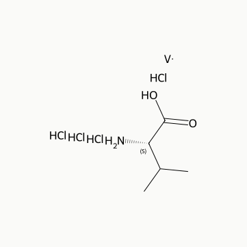 CC(C)[C@H](N)C(=O)O.Cl.Cl.Cl.Cl.[V]